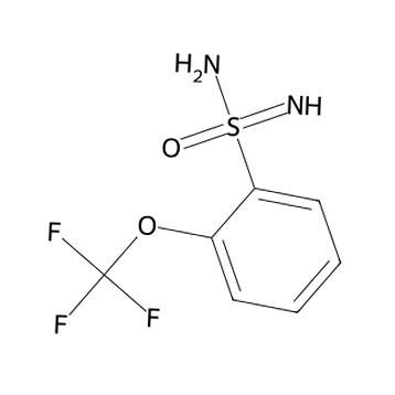 N=S(N)(=O)c1ccccc1OC(F)(F)F